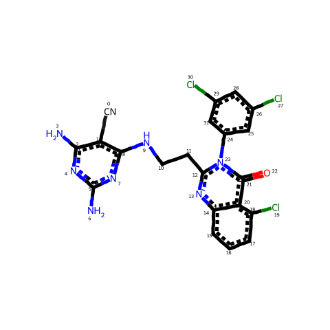 N#Cc1c(N)nc(N)nc1NCCc1nc2cccc(Cl)c2c(=O)n1-c1cc(Cl)cc(Cl)c1